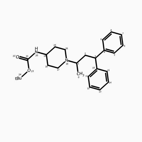 CC(CC(c1ccccc1)c1ccccc1)N1CCC(NC(=O)OC(C)(C)C)CC1